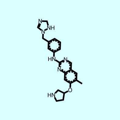 Cc1cc2cnc(Nc3cccc(CN4C=NCN4)c3)nc2cc1OC1CCNC1